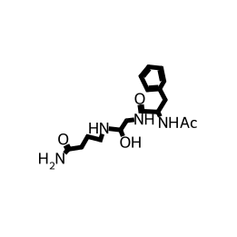 CC(=O)NC(Cc1ccccc1)C(=O)NCC(O)NCCCC(N)=O